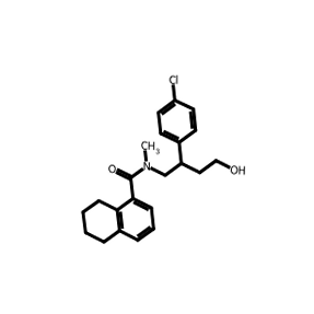 CN(CC(CCO)c1ccc(Cl)cc1)C(=O)c1cccc2c1CCCC2